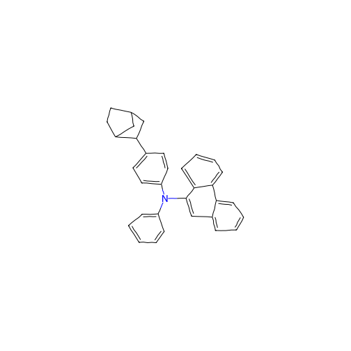 c1ccc(N(c2ccc(C3CC4CCC3C4)cc2)c2cc3ccccc3c3ccccc23)cc1